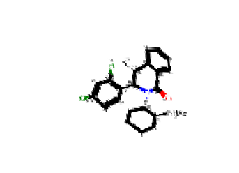 CC(=O)N[C@H]1CCCC[C@@H]1N1C(=O)c2ccccc2[C@@H](C)[C@@H]1c1ccc(Cl)cc1Cl